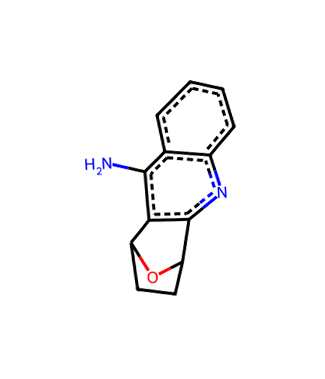 Nc1c2c(nc3ccccc13)C1CCC2O1